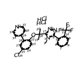 Cl.Cl.Cn1c(-c2ccccc2C(F)(F)F)nnc1C(C)(C)Oc1ccc(Cl)cc1-c1ccncc1